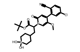 COc1cn(C(CC2CCS(O)(O)CC2)C(=O)OC(C)(C)C)c(=O)cc1-c1cc(Cl)ccc1C#N